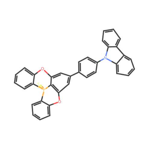 S=P12c3ccccc3Oc3cc(-c4ccc(-n5c6ccccc6c6ccccc65)cc4)cc(c31)Oc1ccccc12